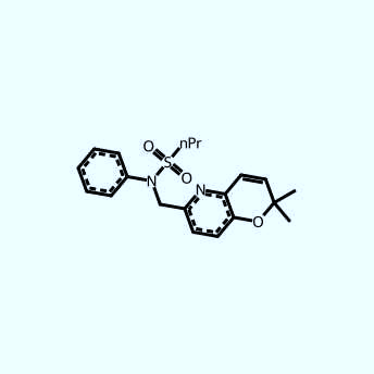 CCCS(=O)(=O)N(Cc1ccc2c(n1)C=CC(C)(C)O2)c1ccccc1